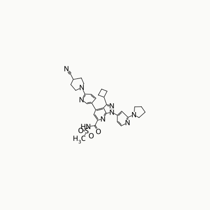 CS(=O)(=O)NC(=O)c1cc(-c2ccc(N3CCC(C#N)CC3)nc2)c2c(C3CCC3)nn(-c3ccnc(N4CCCC4)c3)c2n1